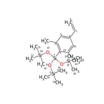 C=Cc1cc(C)c([Si](O[Si](C)(C)C)(O[Si](C)(C)C)O[Si](C)(C)C)c(C)c1